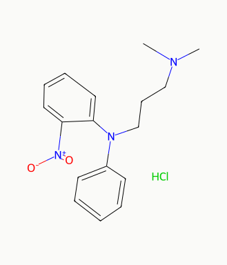 CN(C)CCCN(c1ccccc1)c1ccccc1[N+](=O)[O-].Cl